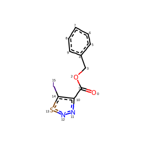 O=C(OCc1ccccc1)c1nnsc1I